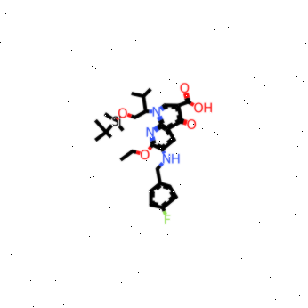 CCOc1nc2c(cc1NCc1ccc(F)cc1)c(=O)c(C(=O)O)cn2C(CO[Si](C)(C)C(C)(C)C)C(C)C